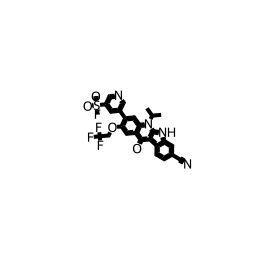 CC(C)n1c2cc(-c3cncc(S(=O)(=O)F)c3)c(OCC(F)(F)F)cc2c(=O)c2c3ccc(C#N)cc3[nH]c21